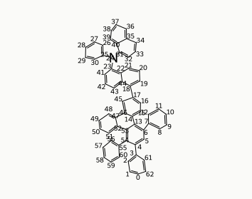 c1ccc(-c2cc(-c3ccccc3)c3c4ccc(-c5cccc6c(N(c7ccccc7)c7cccc8ccccc78)cccc56)cc4c4ccccc4c3c2-c2ccccc2)cc1